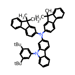 CC(C)(C)c1cc(-n2c3ccccc3c3ccc(N(c4ccc5c(c4)C(C)(C)c4ccccc4-5)c4ccc5c(c4)C(C)(C)c4ccccc4-5)cc32)cc(C(C)(C)C)c1